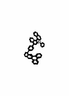 c1ccc(-n2c3ccc4ccccc4c3c3c4ccccc4c(-c4ccc(-c5cccc6cc7c8ccccc8c8ccccc8c7cc56)cc4)cc32)cc1